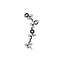 NC(=O)NCCCCC(=O)Nc1ccc(COC(=O)N2CCOC[C@@H]2CCNC(=O)c2cccnc2)cc1